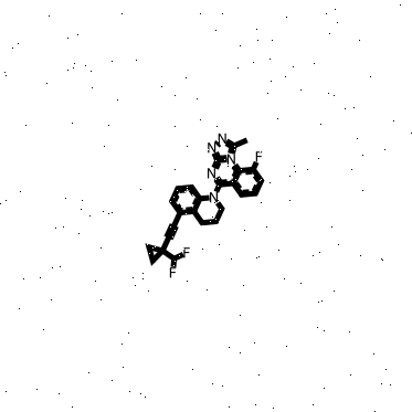 Cc1nnc2nc(N3CCCc4c(C#CC5(C(F)F)CC5)cccc43)c3cccc(F)c3n12